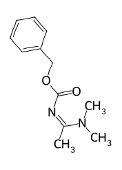 C/C(=N/C(=O)OCc1ccccc1)N(C)C